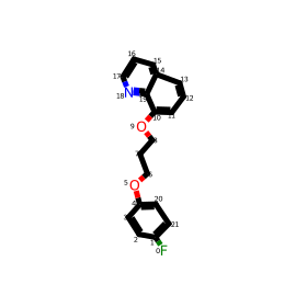 Fc1ccc(OCCCOc2cccc3cccnc23)cc1